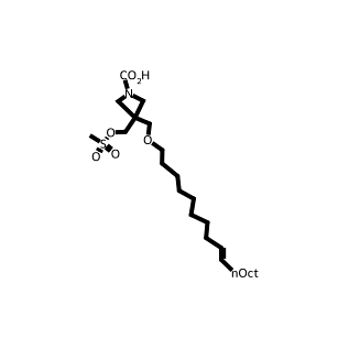 CCCCCCCCC=CCCCCCCCCOCC1(COS(C)(=O)=O)CN(C(=O)O)C1